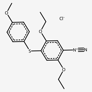 CCOc1cc(Sc2ccc(OC)cc2)c(OCC)cc1[N+]#N.[Cl-]